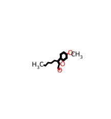 CCCCCc1c(C=O)oc2cc(OC)ccc12